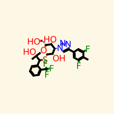 Cc1c(F)cc(-c2cn([C@H]3[C@@H](O)[C@@H](CO)O[C@@H](SC(c4ccccc4C(F)(F)F)C(C)(C)O)[C@@H]3O)nn2)cc1F